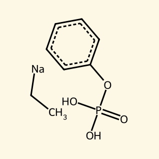 C[CH2][Na].O=P(O)(O)Oc1ccccc1